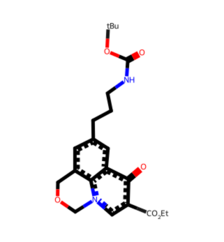 CCOC(=O)c1cn2c3c(cc(CCCNC(=O)OC(C)(C)C)cc3c1=O)COC2